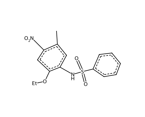 CCOc1cc([N+](=O)[O-])c(C)cc1NS(=O)(=O)c1ccccc1